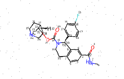 CNC(=O)c1ccc2c(c1)[C@H](c1ccc(F)cc1)N(C(=O)O[C@@H]1CN3CCC1CC3)CC2